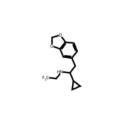 FC(F)(F)CNC(Cc1ccc2c(c1)OCO2)C1CC1